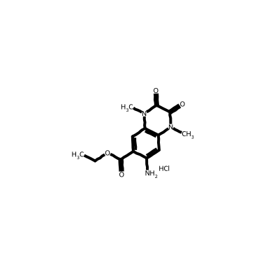 CCOC(=O)c1cc2c(cc1N)n(C)c(=O)c(=O)n2C.Cl